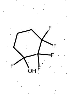 OC1(F)CCCC(F)(F)C1(F)F